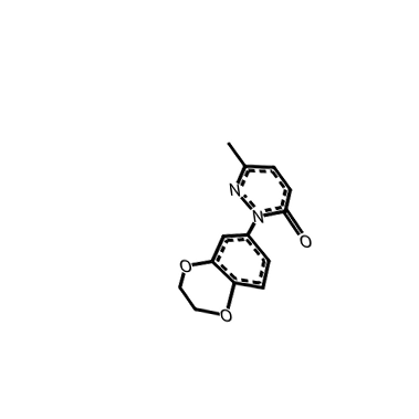 Cc1ccc(=O)n(-c2ccc3c(c2)OCCO3)n1